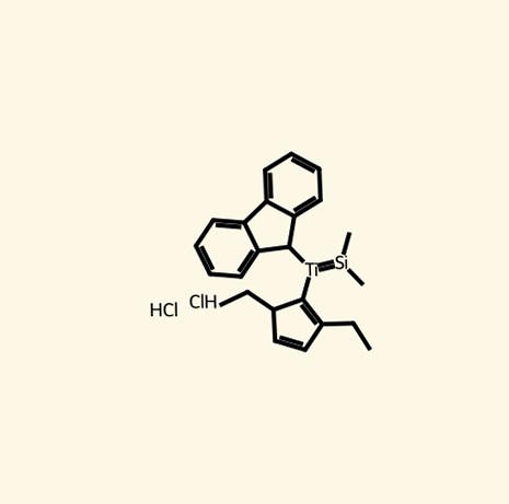 CCC1=[C]([Ti]([CH]2c3ccccc3-c3ccccc32)=[Si](C)C)C(CC)C=C1.Cl.Cl